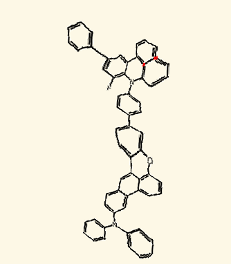 Fc1cc(-c2ccccc2)cc(-c2ccccc2)c1N(c1ccccc1)c1ccc(-c2ccc3c(c2)Oc2cccc4c2c-3cc2ccc(N(c3ccccc3)c3ccccc3)cc24)cc1